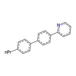 CCCc1ccc(-c2ccc(-c3ccccn3)cc2)cc1